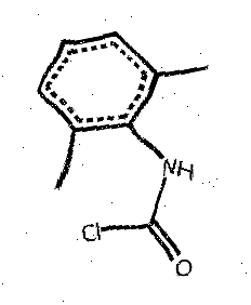 Cc1cccc(C)c1NC(=O)Cl